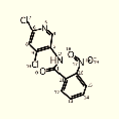 O=C(Nc1cnc(Cl)cc1Cl)c1ccccc1[N+](=O)[O-]